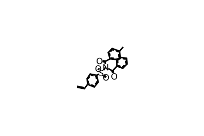 C=Cc1ccc(S(=O)(=O)N2C(=O)c3cccc4c(C)ccc(c34)C2=O)cc1